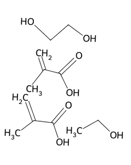 C=C(C)C(=O)O.C=C(C)C(=O)O.CCO.OCCO